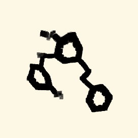 Nc1cccc(Nc2cc(CCc3ccccc3)ccc2C(=O)O)c1